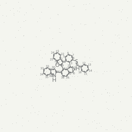 [c]1[nH]c(-c2ccccc2SCc2ccccc2)c2c(-c3cc4ccccc4o3)c(-c3cc4ccccc4[nH]3)ccc12